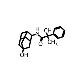 CC(C)(C(=O)NC1C2CC3CC1CC(O)(C3)C2)c1ccccc1